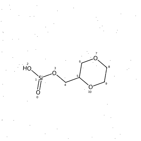 O=[Si](O)OCC1COCCO1